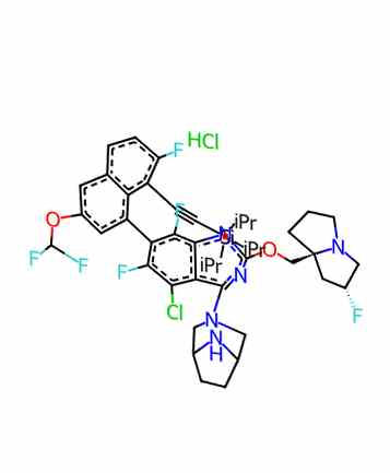 CC(C)[Si](C#Cc1c(F)ccc2cc(OC(F)F)cc(-c3c(F)c(Cl)c4c(N5CC6CCC(C5)N6)nc(OC[C@@]56CCCN5C[C@H](F)C6)nc4c3F)c12)(C(C)C)C(C)C.Cl